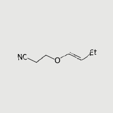 CCC=COCCC#N